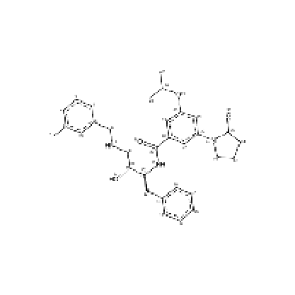 Cc1cccc(CNC[C@@H](O)[C@H](Cc2ccccc2)NC(=O)c2cc(OC(C)C)cc(N3CCCC3=O)c2)c1